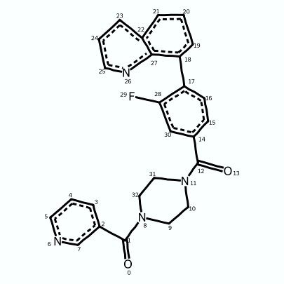 O=C(c1cccnc1)N1CCN(C(=O)c2ccc(-c3cccc4cccnc34)c(F)c2)CC1